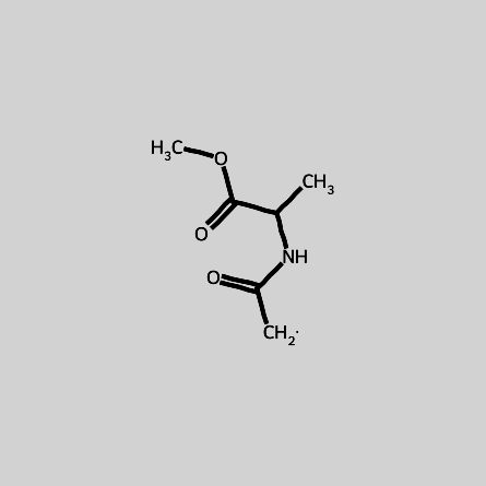 [CH2]C(=O)NC(C)C(=O)OC